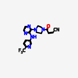 N#C/C=C\C(=O)N1CCN(c2nccnc2Nc2ccc(C(F)(F)F)nc2)CC1